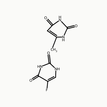 Cc1cc(=O)[nH]c(=O)[nH]1.O=c1[nH]cc(F)c(=O)[nH]1